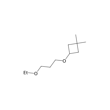 CCOCCCOC1CC(C)(C)C1